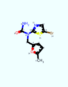 Cc1ccc(CN(C(N)=O)c2ncc(Br)s2)o1